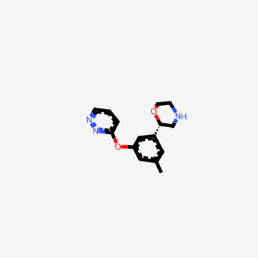 Cc1cc(Oc2cccnn2)cc([C@H]2CNCCO2)c1